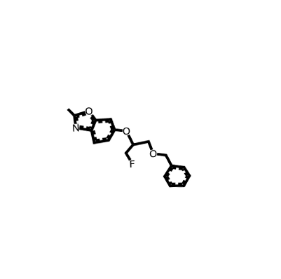 Cc1nc2ccc(OC(CF)COCc3ccccc3)cc2o1